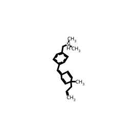 C=CCC1(C)C=CC(=Cc2ccc(C[SiH](C)C)cc2)C=C1